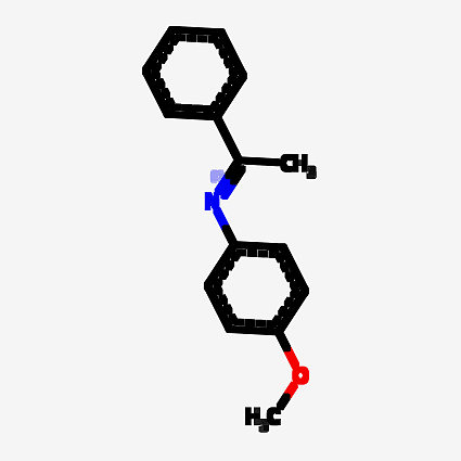 COc1ccc(/N=C(\C)c2ccccc2)cc1